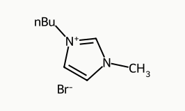 CCCC[n+]1ccn(C)c1.[Br-]